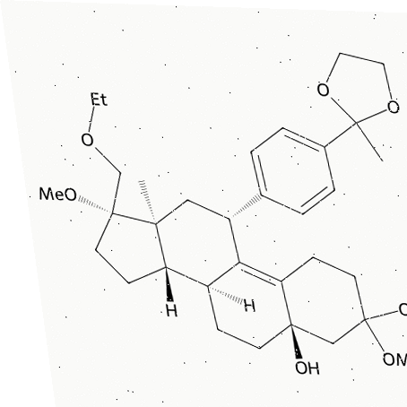 CCOC[C@]1(OC)CC[C@H]2[C@@H]3CC[C@@]4(O)CC(OC)(OC)CCC4=C3[C@@H](c3ccc(C4(C)OCCO4)cc3)C[C@@]21C